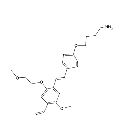 C=Cc1cc(OCCOC)c(/C=C/c2ccc(OCCCCN)cc2)cc1OC